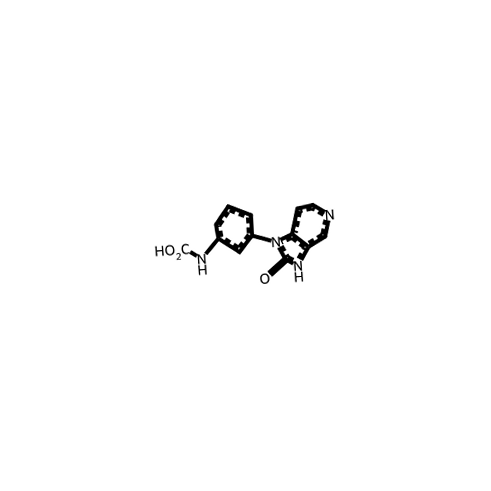 O=C(O)Nc1cccc(-n2c(=O)[nH]c3cnccc32)c1